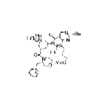 COCCCNc1nc(C(C)(C)C)ncc1C(=O)N(CC(C)C)[C@@H]1CNC[C@H](C(=O)N2CCOCC2Cc2ccccc2)C1.Cl.Cl